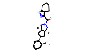 O=C(c1n[nH]c2c1CCCC2)N1C[C@H]2C[C@@H](c3ccccc3C(F)(F)F)C[C@H]2C1